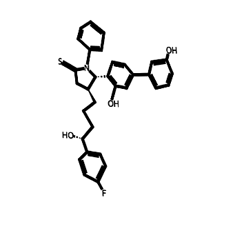 Oc1cccc(-c2ccc([C@@H]3[C@@H](CCC[C@@H](O)c4ccc(F)cc4)CC(=S)N3c3ccccc3)c(O)c2)c1